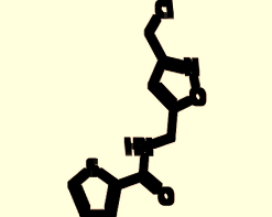 O=C(NCc1cc(CCl)no1)c1cccs1